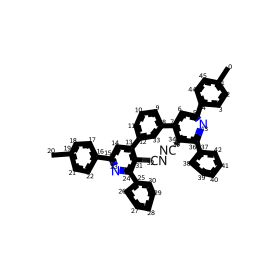 Cc1ccc(-c2cc(-c3cccc(-c4cc(-c5ccc(C)cc5)nc(-c5ccccc5)c4C#N)c3)c(C#N)c(-c3ccccc3)n2)cc1